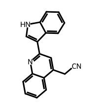 N#CCc1cc(-c2c[nH]c3ccccc23)nc2ccccc12